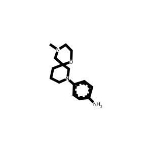 CN1CCOC2(CCCN(c3ccc(N)cc3)C2)C1